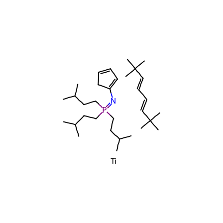 CC(C)(C)C=CC=CC(C)(C)C.CC(C)CCP(CCC(C)C)(CCC(C)C)=NC1=CC=CC1.[Ti]